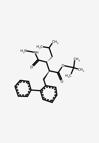 CC(C)C[C@@H](C(=O)NN)[C@H](Cc1ccccc1-c1ccccc1)C(=O)OC(C)(C)C